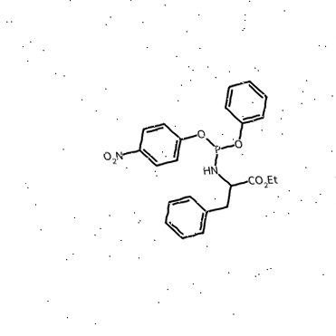 CCOC(=O)C(Cc1ccccc1)NP(Oc1ccccc1)Oc1ccc([N+](=O)[O-])cc1